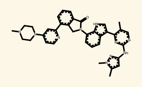 Cc1cnc(Nc2cc(C)n(C)n2)nc1-c1c[nH]c2c(N3Cc4c(cccc4-c4cc(N5CCN(C)CC5)ccn4)C3=O)cccc12